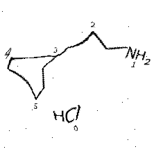 Cl.NCC1CC1